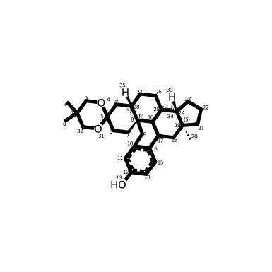 CC1(C)COC2(CC[C@@]34Cc5cc(O)ccc5C5C[C@]6(C)CCC[C@H]6[C@H](CC[C@H]3C2)C54)OC1